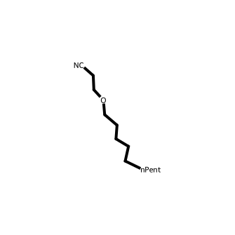 CCCCCCCCCCOCCC#N